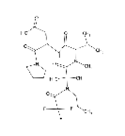 CCCN(C(=O)C(F)(F)F)C(C)(C)C(=O)N(C)[C@H](C(=O)N[C@@H](CC(=O)O)C(=O)N1CCCC1)C(C)C